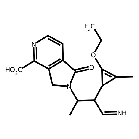 CC1=C(OCC(F)(F)F)C1C(C=N)C(C)N1Cc2c(ccnc2C(=O)O)C1=O